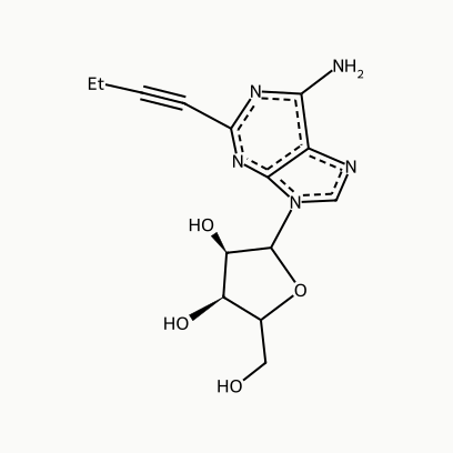 CCC#Cc1nc(N)c2ncn(C3OC(CO)[C@@H](O)[C@H]3O)c2n1